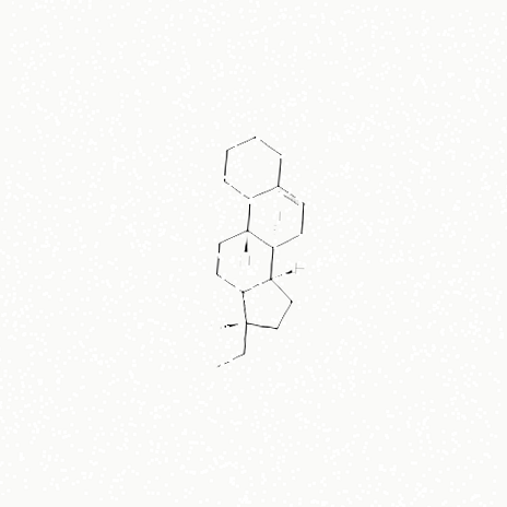 CC[C@@]1(O)CC[C@H]2[C@@H]3CC=C4CCCC[C@]4(C)[C@H]3CC[C@@]21C